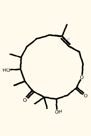 C/C1=C\CCOC(=O)CC(O)C(C)(C)C(=O)C(C)C(O)C(C)CCC1